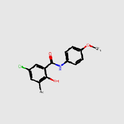 CC(=O)c1cc(Cl)cc(C(=O)Nc2ccc(OC(F)(F)F)cc2)c1O